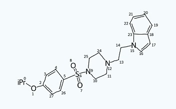 CC(C)Oc1ccc(S(=O)(=O)N2CCN(CCn3ccc4ccccc43)CC2)cc1